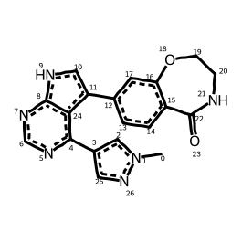 Cn1cc(-c2ncnc3[nH]cc(-c4ccc5c(c4)OCCNC5=O)c23)cn1